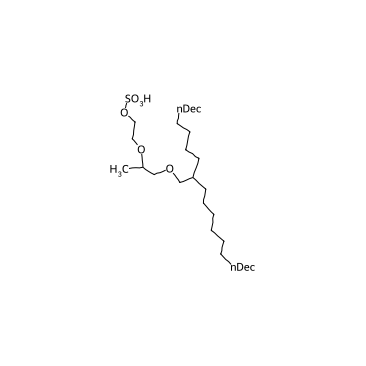 CCCCCCCCCCCCCCCCC(CCCCCCCCCCCCCC)COCC(C)OCCOS(=O)(=O)O